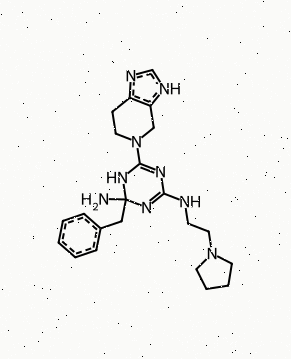 NC1(Cc2ccccc2)N=C(NCCN2CCCC2)N=C(N2CCc3nc[nH]c3C2)N1